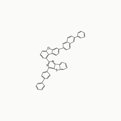 c1ccc(-c2ccc(-c3nc(-c4cccc5oc6cc(-c7ccc8cc(-c9ccccc9)ccc8c7)ccc6c45)nc4c3sc3ccccc34)cc2)cc1